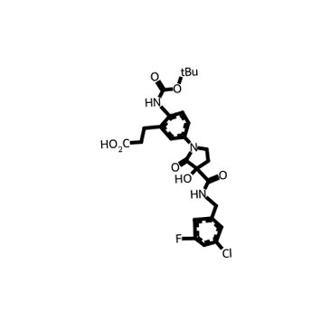 CC(C)(C)OC(=O)Nc1ccc(N2CCC(O)(C(=O)NCc3cc(F)cc(Cl)c3)C2=O)cc1CCC(=O)O